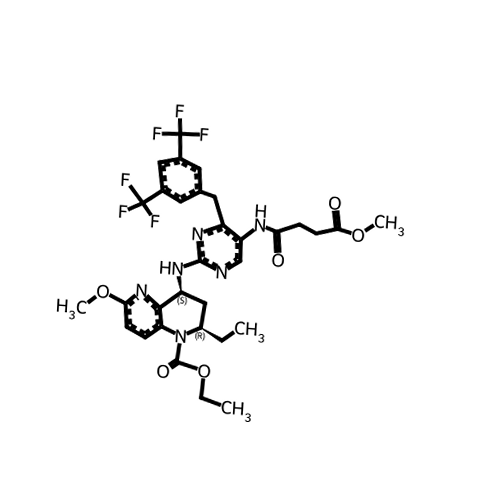 CCOC(=O)N1c2ccc(OC)nc2[C@@H](Nc2ncc(NC(=O)CCC(=O)OC)c(Cc3cc(C(F)(F)F)cc(C(F)(F)F)c3)n2)C[C@H]1CC